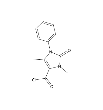 Cc1c(C(=O)Cl)n(C)c(=O)n1-c1ccccc1